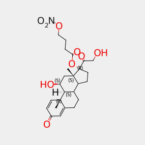 C[C@]12C=CC(=O)C=C1CCC1C3CC[C@](OC(=O)CCCO[N+](=O)[O-])(C(=O)CO)[C@@]3(C)C[C@H](O)[C@@H]12